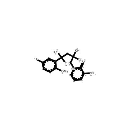 COc1ccc(F)cc1C(C)(C)CC(O)(Cn1cccc([N+](=O)[O-])c1=O)C(F)(F)F